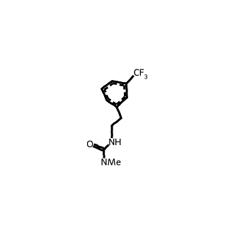 CNC(=O)NCCc1cccc(C(F)(F)F)c1